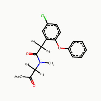 [2H]C([2H])(C(=O)N(C)C([2H])([2H])C(=O)OC)c1cc(Cl)ccc1Oc1ccccc1